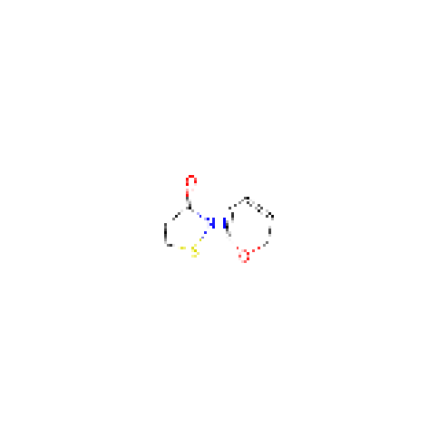 C1=CCOC=C1.O=c1ccs[nH]1